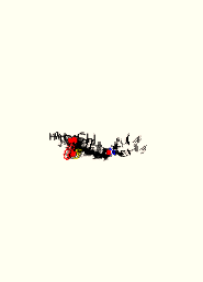 CCCCN(CCCC)c1ccc(C=CC=Cc2sc(C=O)c(O[SiH](C)C)c2C(C)(C)C)cc1